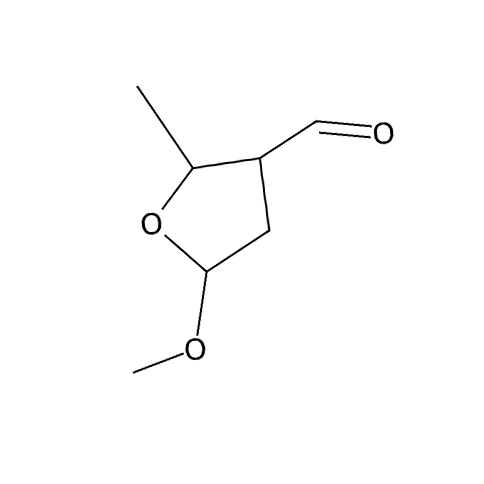 COC1CC(C=O)C(C)O1